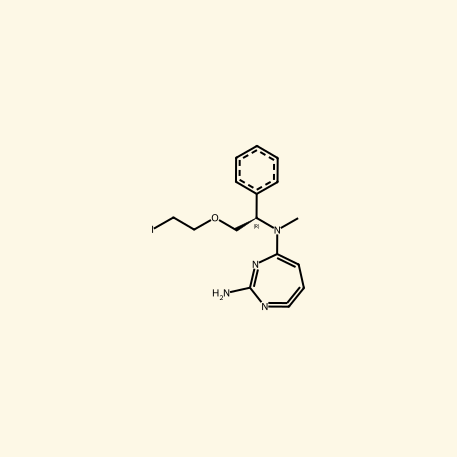 CN(C1=CC=C=NC(N)=N1)[C@@H](COCCI)c1ccccc1